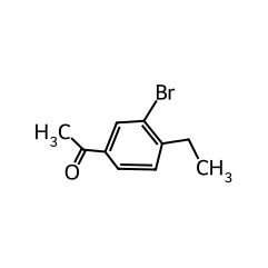 CCc1ccc(C(C)=O)cc1Br